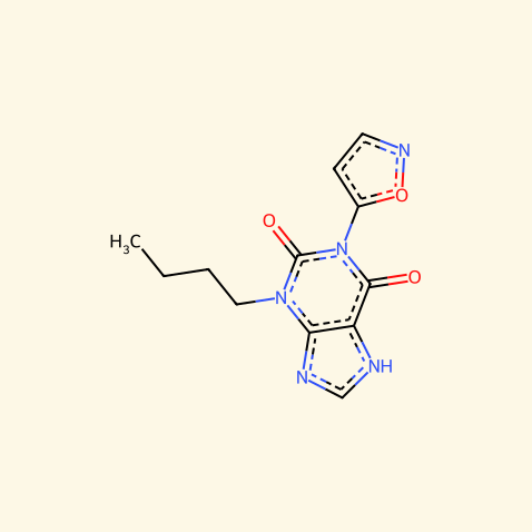 CCCCn1c(=O)n(-c2ccno2)c(=O)c2[nH]cnc21